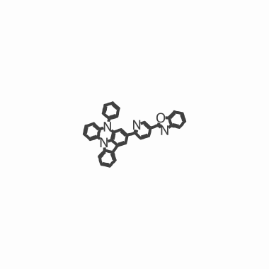 c1ccc(N2c3ccccc3-n3c4ccccc4c4cc(-c5ccc(-c6nc7ccccc7o6)cn5)cc2c43)cc1